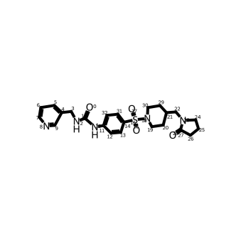 O=C(NCc1cccnc1)Nc1ccc(S(=O)(=O)N2CCC(CN3CCCC3=O)CC2)cc1